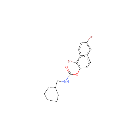 O=C(NCC1CCCCC1)Oc1ccc2cc(Br)ccc2c1Br